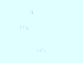 [c]1cc2cn[nH]c2[nH]1